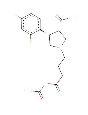 N=C(CCCN1C[C@@H](C(=O)O)[C@H](c2ccc(F)cc2F)C1)OC(N)=O